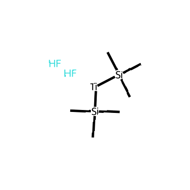 C[Si](C)(C)[Ti][Si](C)(C)C.F.F